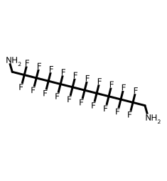 NCC(F)(F)C(F)(F)C(F)(F)C(F)(F)C(F)(F)C(F)(F)C(F)(F)C(F)(F)C(F)(F)C(F)(F)CN